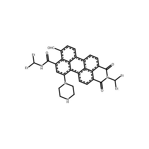 CCC(CC)NC(=O)c1cc(N2CCNCC2)c2c3ccc4c5c(ccc(c6ccc(C=O)c1c62)c53)C(=O)N(C(CC)CC)C4=O